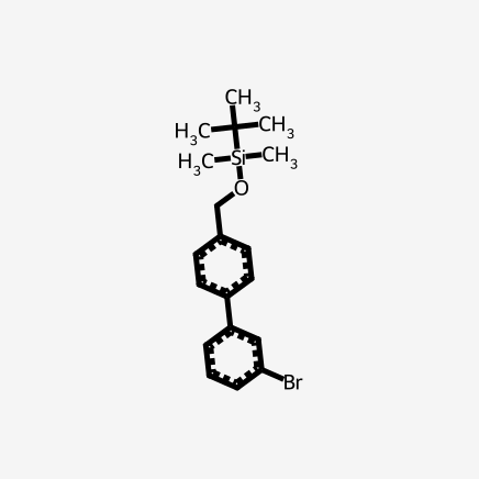 CC(C)(C)[Si](C)(C)OCc1ccc(-c2cccc(Br)c2)cc1